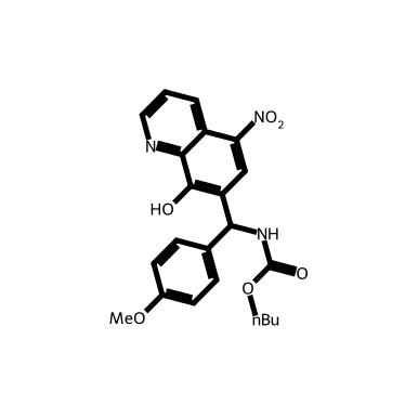 CCCCOC(=O)NC(c1ccc(OC)cc1)c1cc([N+](=O)[O-])c2cccnc2c1O